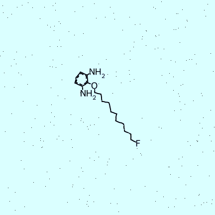 Nc1cccc(N)c1OCCCCCCCCCCCF